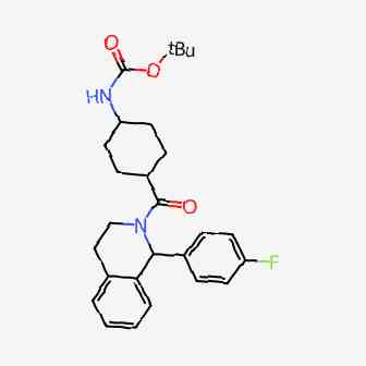 CC(C)(C)OC(=O)NC1CCC(C(=O)N2CCc3ccccc3C2c2ccc(F)cc2)CC1